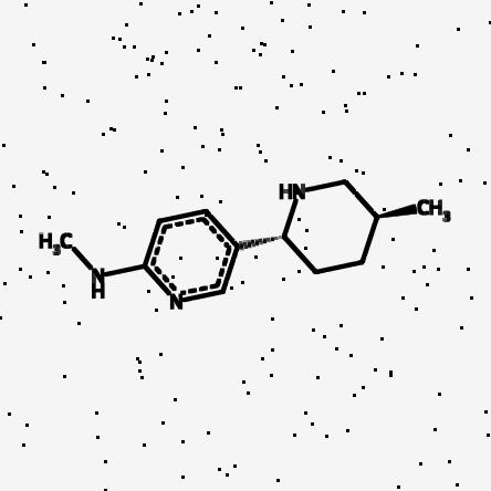 CNc1ccc([C@H]2CC[C@H](C)CN2)cn1